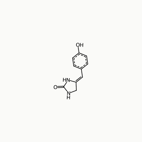 O=C1NCC(=Cc2ccc(O)cc2)N1